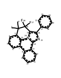 CC1(C)c2cccc3c4ccccc4c4nc(-c5ccccc5)c(n4c23)C1(F)F